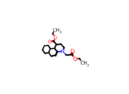 CCOC(=O)CN1CCC(C(=O)OCC)C2C3CCCCC3CCC21